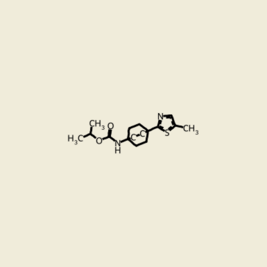 Cc1cnc(C23CCC(NC(=O)OC(C)C)(CC2)CC3)s1